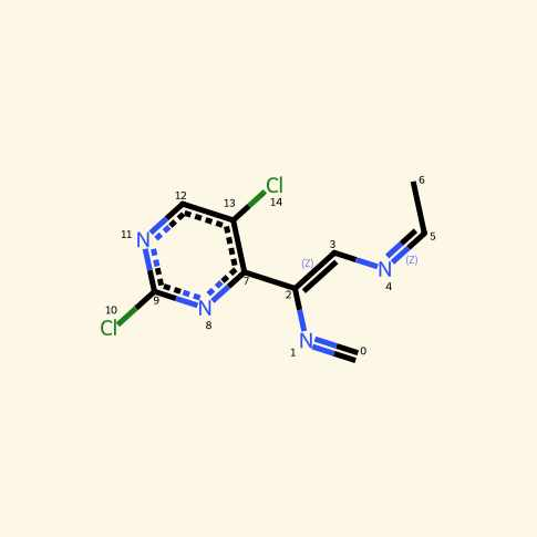 C=N/C(=C\N=C/C)c1nc(Cl)ncc1Cl